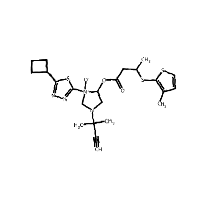 C#CC(C)(C)N1CC(OC(=O)CC(C)Sc2sccc2C)[N+]([O-])(c2nnc(C3CCC3)s2)C1